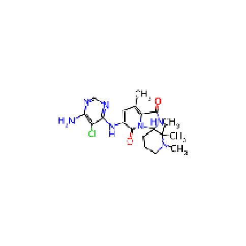 Cc1cc(Nc2ncnc(N)c2Cl)c(=O)n2c1C(=O)NC21CCCN(C)C1(C)C